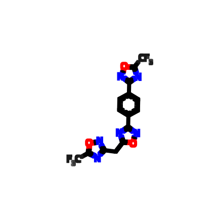 FC(F)(F)c1nc(Cc2nc(-c3ccc(-c4noc(C(F)(F)F)n4)cc3)no2)no1